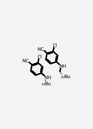 CC[C@@H](C)CNc1ccc(C#N)c(Cl)c1.CC[C@@H](C)Nc1ccc(C#N)c(Cl)c1